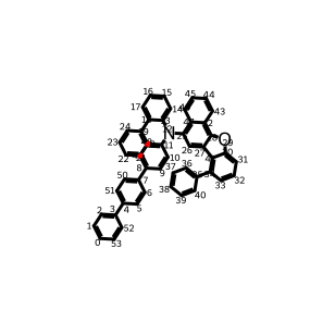 c1ccc(-c2ccc(-c3ccc(N(c4ccccc4-c4ccccc4)c4cc5c(oc6cccc(-c7ccccc7)c65)c5ccccc45)cc3)cc2)cc1